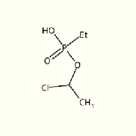 CCP(=O)(O)OC(C)Cl